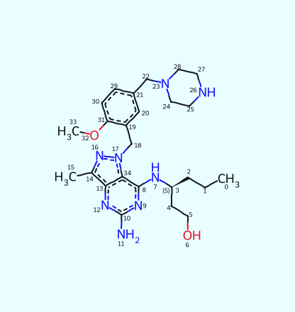 CCC[C@@H](CCO)Nc1nc(N)nc2c(C)nn(Cc3cc(CN4CCNCC4)ccc3OC)c12